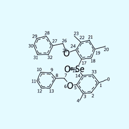 Cc1cc(C)c(OCc2ccccc2)c([Se](=O)c2cc(C)cc(C)c2OCc2ccccc2)c1